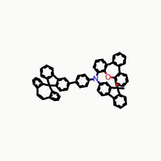 CC1(C)c2ccccc2-c2ccc(N(c3ccc(-c4ccc5c(c4)-c4ccccc4C54c5ccccc5C=Cc5ccccc54)cc3)c3cccc4c3Oc3ccccc3-c3ccccc3-4)cc21